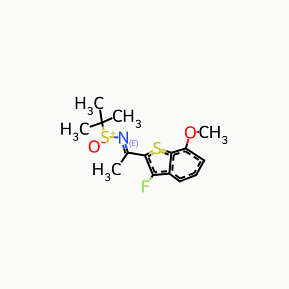 COc1cccc2c(F)c(/C(C)=N/[S+]([O-])C(C)(C)C)sc12